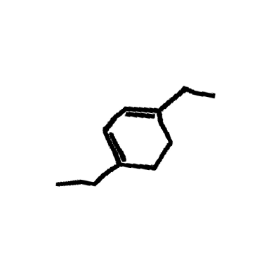 CCC1=CC=C(CC)CC1